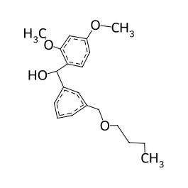 CCCCOCc1cccc(C(O)c2ccc(OC)cc2OC)c1